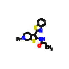 C=CC(=O)Nc1sc2c(c1-c1nc3ccccc3s1)CCN(C(C)C)C2